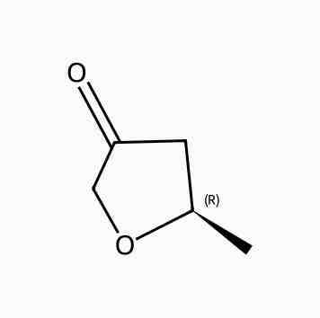 C[C@@H]1CC(=O)CO1